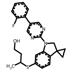 CC(CCO)Sc1ccc2c(c1)N(c1ncc(-c3ccccc3F)cn1)CC21CC1